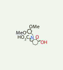 COc1cc(Cn2c(C(=O)O)cc3c2C(=O)C(=CO)CCC3)cc(OC)c1